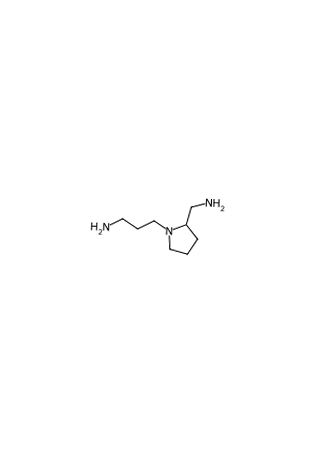 NCCCN1CCCC1CN